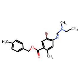 CCN(C)/C=N/c1cc(C)c(C(=O)OCc2ccc(C)cc2)cc1Br